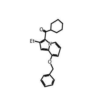 CCc1cc2c(OCc3ccccc3)cccn2c1C(=O)C1CCCCC1